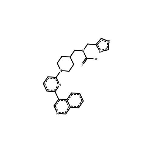 O=C(O)N(Cc1cscn1)CC1CCN(c2cccc(-c3cncc4ccccc34)n2)CC1